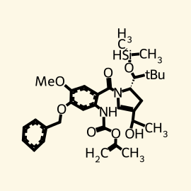 C=C(C)OC(=O)Nc1cc(OCc2ccccc2)c(OC)cc1C(=O)N1C=C(C(C)O)C[C@H]1C(O[SiH](C)C)C(C)(C)C